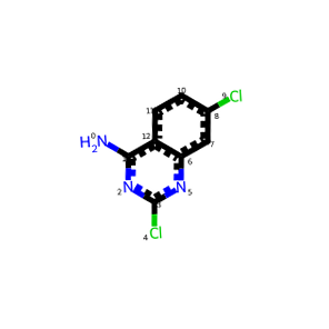 Nc1nc(Cl)nc2cc(Cl)ccc12